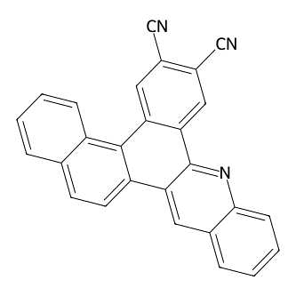 N#Cc1cc2c(cc1C#N)c1c3ccccc3ccc1c1cc3ccccc3nc12